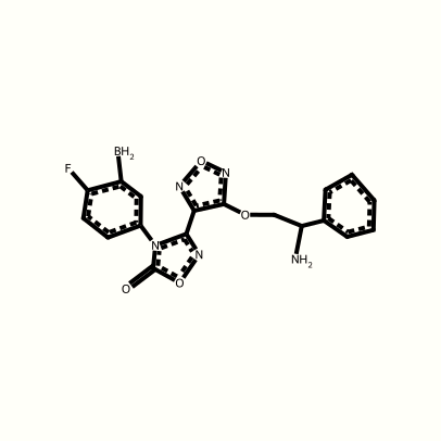 Bc1cc(-n2c(-c3nonc3OCC(N)c3ccccc3)noc2=O)ccc1F